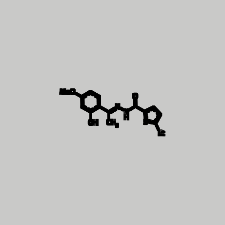 CCc1ccc(C(=O)NN=C(C)c2ccc(OC)cc2O)s1